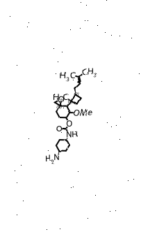 COC1C(OC(=O)N[C@H]2CC[C@H](N)CC2)CC[C@]2(CO2)C1[C@@]1(C)CC[C@@H]1CC=C(C)C